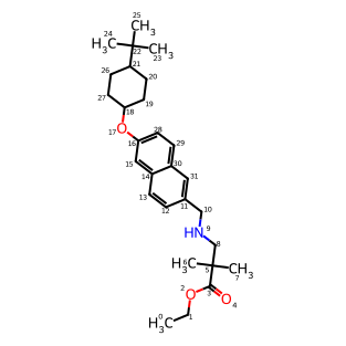 CCOC(=O)C(C)(C)CNCc1ccc2cc(OC3CCC(C(C)(C)C)CC3)ccc2c1